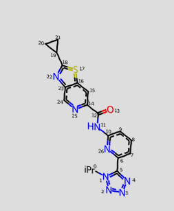 CC(C)n1nnnc1-c1cccc(NC(=O)c2cc3sc(C4CC4)nc3cn2)n1